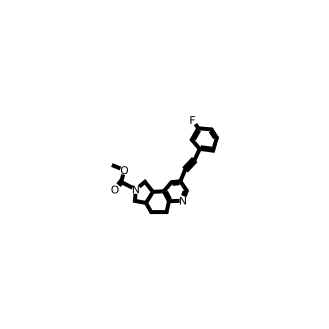 COC(=O)N1CC2CCc3ncc(C#Cc4cccc(F)c4)cc3C2C1